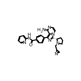 Nc1nccn2c([C@@H]3CCCN3CC3C=N3)nc(-c3ccc(C(=O)Nc4ccccn4)cc3)c12